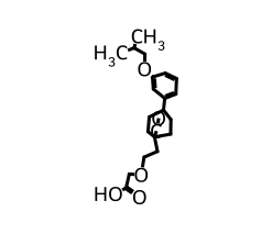 CC(C)COc1cccc(C23CCC(CCOCC(=O)O)(CC2)CO3)c1